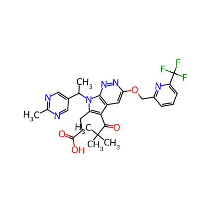 Cc1ncc(C(C)n2c(CCC(=O)O)c(C(=O)C(C)(C)C)c3cc(OCc4cccc(C(F)(F)F)n4)nnc32)cn1